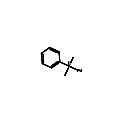 C[PH](C)([Pd])c1ccccc1